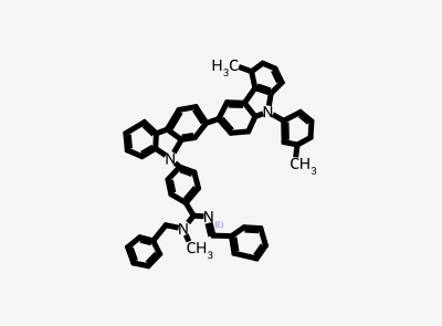 CC1C=C(N2C3=C(C4=CC(c5ccc6c7ccccc7n(-c7ccc(C(/N=C/c8ccccc8)N(C)Cc8ccccc8)cc7)c6c5)=CCC42)C(C)CC=C3)C=CC1